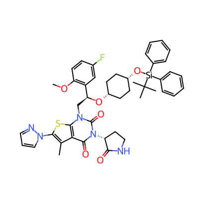 COc1ccc(F)cc1[C@H](Cn1c(=O)n([C@@H]2CCNC2=O)c(=O)c2c(C)c(-n3cccn3)sc21)O[C@H]1CC[C@@H](O[Si](c2ccccc2)(c2ccccc2)C(C)(C)C)CC1